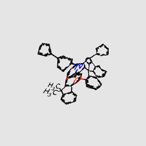 CC1(C)c2ccccc2-c2ccc(N(c3ccc(-c4ccccc4)cc3)c3ccc(-c4ccccc4)c4c3C3(c5ccccc5Oc5ccccc53)c3ccccc3-4)cc21